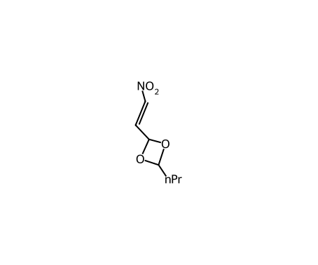 CCCC1OC(/C=C/[N+](=O)[O-])O1